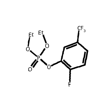 CCOP(=O)(OCC)Oc1cc(C(F)(F)F)ccc1F